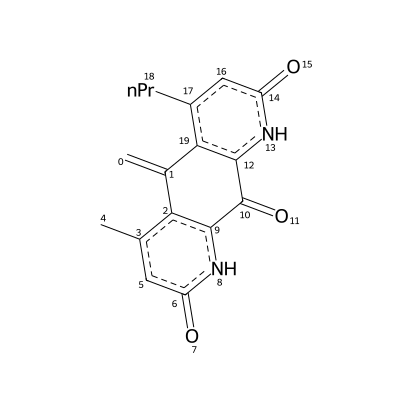 C=C1c2c(C)cc(=O)[nH]c2C(=O)c2[nH]c(=O)cc(CCC)c21